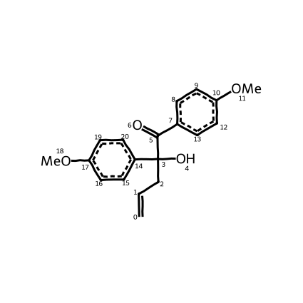 C=CCC(O)(C(=O)c1ccc(OC)cc1)c1ccc(OC)cc1